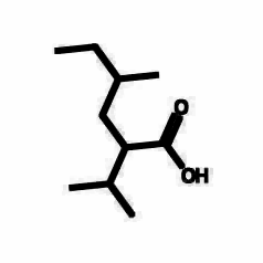 CCC(C)CC(C(=O)O)C(C)C